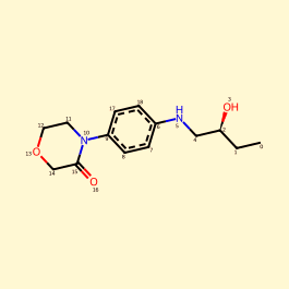 CC[C@H](O)CNc1ccc(N2CCOCC2=O)cc1